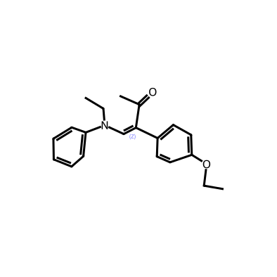 CCOc1ccc(/C(=C/N(CC)c2ccccc2)C(C)=O)cc1